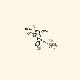 COc1cc(C)c2c(ccn2C(=O)OC(C)(C)C)c1Cc1nc2ccc(C#N)cc2n1COCC[Si](C)(C)C